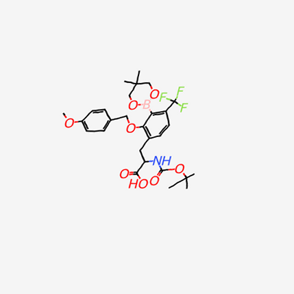 COc1ccc(COc2c(CC(NC(=O)OC(C)(C)C)C(=O)O)ccc(C(F)(F)F)c2B2OCC(C)(C)CO2)cc1